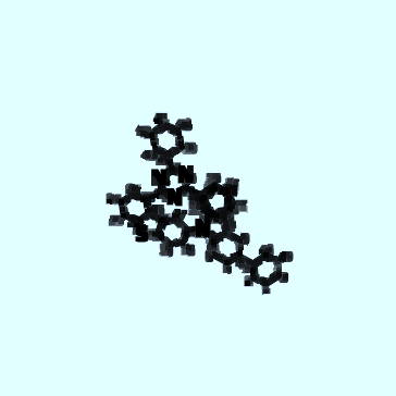 c1ccc(-c2ccc3c(c2)c2ccccc2n3-c2ccc3sc4cccc(-c5nc(-c6ccccc6)nc(-c6ccccc6)n5)c4c3c2)cc1